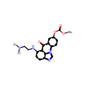 CCN(CC)CCNc1ccc2ncn3c4ccc(OC(=O)OC(C)(C)C)cc4c(=O)c1c23